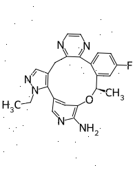 CCn1ncc2c1-c1cnc(N)c(c1)O[C@H](C)c1cc(F)ccc1-c1nccnc1C2